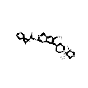 Cc1cc2cnc(NC(=O)[C@@H]3CC34CCOC4)cc2cc1C1CCN([C@]2(C)COC[C@@H]2F)CC1